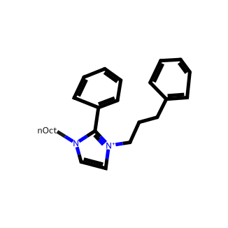 CCCCCCCCn1cc[n+](CCCc2ccccc2)c1-c1ccccc1